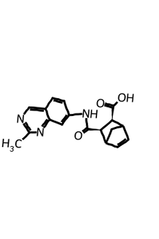 Cc1ncc2ccc(NC(=O)[C@@H]3C4C=CC(C4)[C@@H]3C(=O)O)cc2n1